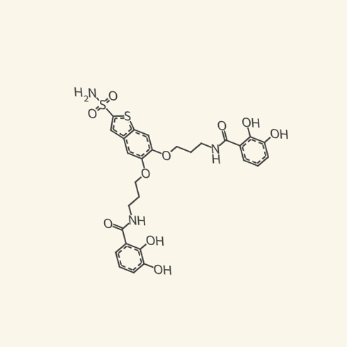 NS(=O)(=O)c1cc2cc(OCCCNC(=O)c3cccc(O)c3O)c(OCCCNC(=O)c3cccc(O)c3O)cc2s1